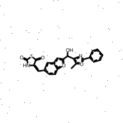 Cc1oc(-c2ccccc2)nc1C(O)c1cc2cc(C=C3NC(=O)SC3=O)ccc2o1